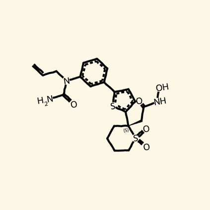 C=CCN(C(N)=O)c1cccc(-c2ccc([C@@]3(CC(=O)NO)CCCCS3(=O)=O)s2)c1